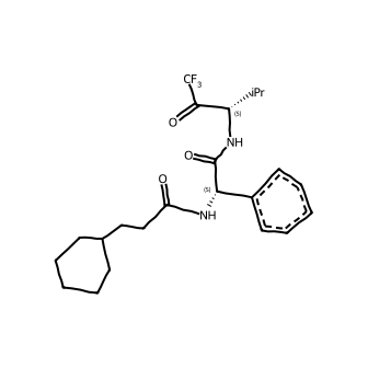 CC(C)[C@H](NC(=O)[C@@H](NC(=O)CCC1CCCCC1)c1ccccc1)C(=O)C(F)(F)F